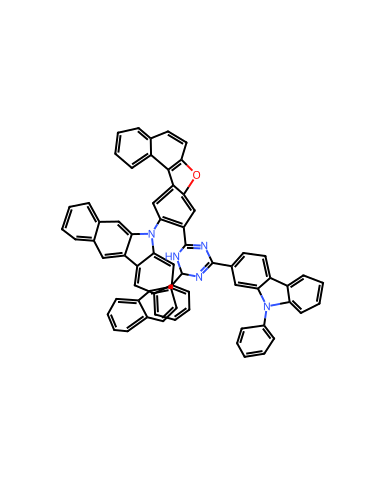 c1ccc(-n2c3ccccc3c3ccc(C4=NC(c5ccc6ccccc6c5)NC(c5cc6oc7ccc8ccccc8c7c6cc5-n5c6cc7ccccc7cc6c6cc7ccccc7cc65)=N4)cc32)cc1